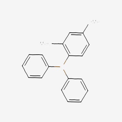 COc1ccc([S+](c2ccccc2)c2ccccc2)c(OC)c1